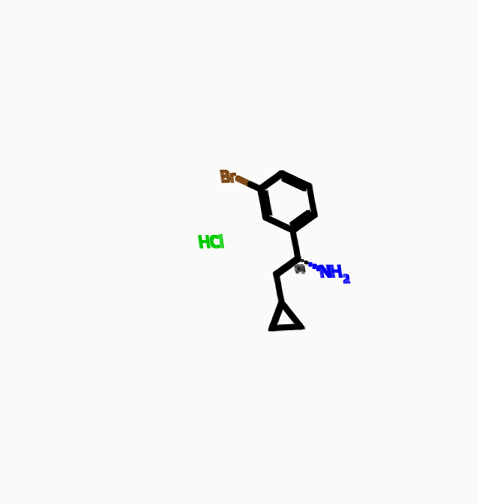 Cl.N[C@H](CC1CC1)c1cccc(Br)c1